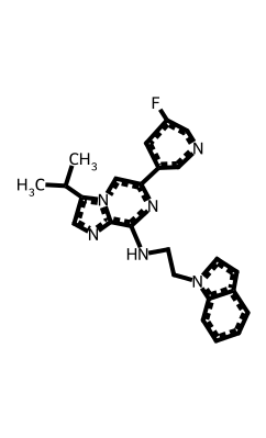 CC(C)c1cnc2c(NCCn3ccc4ccccc43)nc(-c3cncc(F)c3)cn12